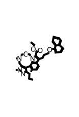 CCCc1nn(C)c2c1-c1c(C)ccc3c(CCCOc4cccc5ccccc45)c(C(=O)OCC)n(c13)CCCN(C)C2